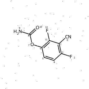 N#Cc1c(F)ccc(OC(N)=O)c1F